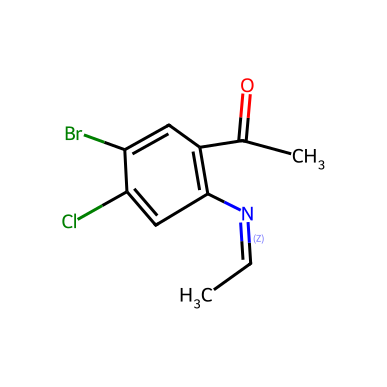 C/C=N\c1cc(Cl)c(Br)cc1C(C)=O